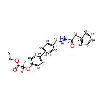 CCOC(=O)C(C)(C)Oc1ccc(-c2ccc(CCNC(=O)Cc3ccccc3)cc2)cc1